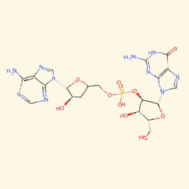 Nc1nc2c(ncn2[C@@H]2O[C@H](CO)[C@@H](O)[C@H]2OP(=O)(O)OCC2C[C@@H](O)[C@H](n3cnc4c(N)ncnc43)O2)c(=O)[nH]1